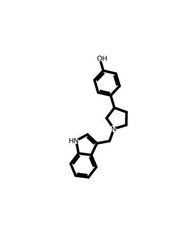 Oc1ccc(C2CCN(Cc3c[nH]c4ccccc34)C2)cc1